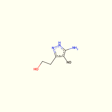 Nc1[nH]nc(CCO)c1N=O